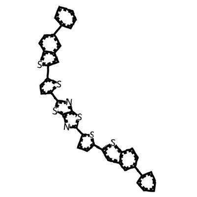 c1ccc(-c2ccc3sc(-c4ccc(-c5nc6sc(-c7ccc(-c8cc9cc(-c%10ccccc%10)ccc9s8)s7)nc6s5)s4)cc3c2)cc1